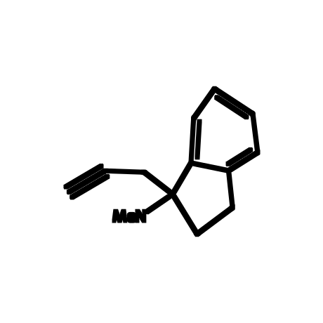 C#CCC1(NC)CCc2ccccc21